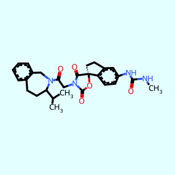 CNC(=O)Nc1ccc2c(c1)CC[C@@]21OC(=O)N(CC(=O)N2Cc3ccccc3CCC2C(C)C)C1=O